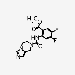 COC(=O)c1cc(F)c(F)cc1NC(=O)N1CCn2cncc2C1